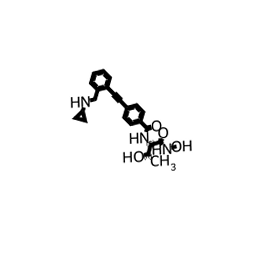 C[C@@H](O)[C@H](NC(=O)c1ccc(C#Cc2ccccc2CNC2CC2)cc1)C(=O)NO